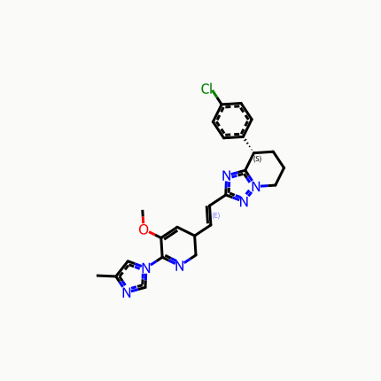 COC1=CC(/C=C/c2nc3n(n2)CCC[C@H]3c2ccc(Cl)cc2)CN=C1n1cnc(C)c1